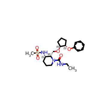 CCNC(=O)N1CCC[C@H](NS(C)(=O)=O)[C@@H]1CO[C@H]1CCC[C@@H]1Oc1ccccc1